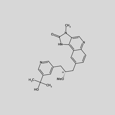 CO[C@H](Cc1cncc(C(C)(C)O)c1)Cc1ccc2ncc3c([nH]c(=O)n3C)c2c1